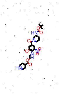 COc1cc(C(=O)N2CCC[C@@H](NC(=O)OC(C)(C)C)C2)cc([N+](=O)[O-])c1NCCOC(=O)C1CCNCC1